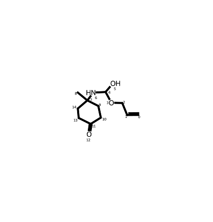 C=CCOC(O)NC1(C)CCC(=O)CC1